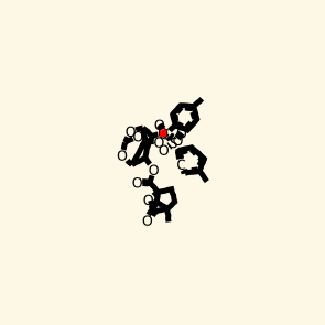 Cc1ccc(S(=O)(=O)OC2C3OC4OC(C3OC(=O)C35CCC(C)(C(=O)O3)C5(C)C)C(OS(=O)(=O)c3ccc(C)cc3)C2O4)cc1